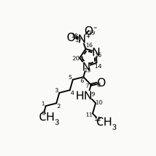 CCCCCCC(C(=O)NCCC)n1cnc([N+](=O)[O-])c1